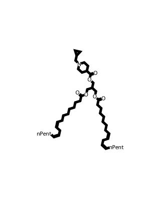 CCCCC/C=C\C/C=C\CCCCCCCC(=O)OCC(COC(=O)CCCCCCC/C=C\C/C=C\CCCCC)COC(=O)C1CCN(CC2CC2)CC1